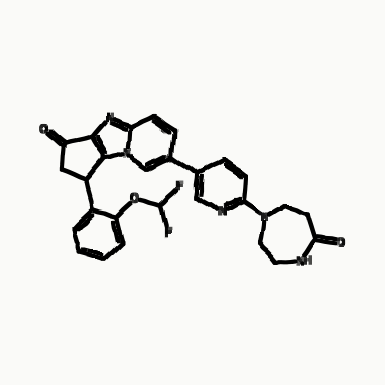 O=C1CCN(c2ccc(-c3ccc4nc5c(n4c3)C(c3ccccc3OC(F)F)CC5=O)cn2)CCN1